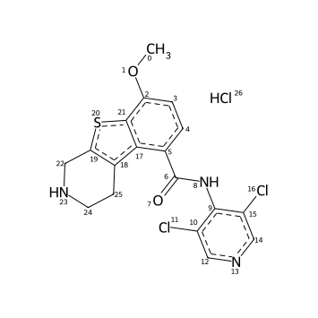 COc1ccc(C(=O)Nc2c(Cl)cncc2Cl)c2c3c(sc12)CNCC3.Cl